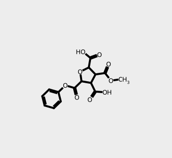 COC(=O)C1C(C(=O)O)OC(C(=O)Oc2ccccc2)C1C(=O)O